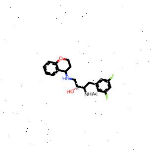 CC(=O)NC(Cc1cc(F)cc(F)c1)[C@H](O)CNC1CCOc2ccccc21